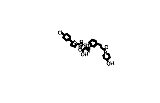 O=C(CCc1cccc([C@@H]2C[C@]2(NS(=O)(=O)c2ccc(-c3ccc(Cl)cc3)s2)C(=O)O)c1)N1CCC(O)CC1